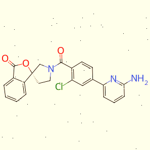 Nc1cccc(-c2ccc(C(=O)N3CC[C@@]4(C3)OC(=O)c3ccccc34)c(Cl)c2)n1